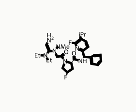 CCN(CC)/C(=C/N)N(CC(=O)N1C[C@H](F)C[C@H]1C(=O)N[C@@H](c1ccccc1)c1ccc(C(C)C)c(F)n1)NC